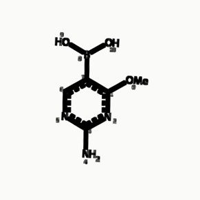 COc1nc(N)ncc1B(O)O